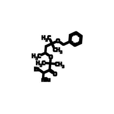 CCCCC(CC)C(=O)C(C)(C)OC(C)CC(C)(C)OCc1ccccc1